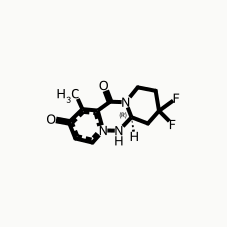 Cc1c2n(ccc1=O)N[C@@H]1CC(F)(F)CCN1C2=O